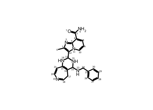 Cc1nc2c(C(N)=O)cccn2c1C1NC2=C(CC=NC=C2)C(NCc2ccccc2)N1